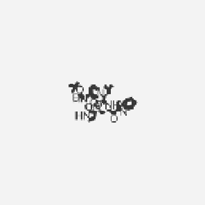 CC(C)C[C@@H](C(=O)N[C@@H](CC[C@@H]1CCNC1O)C(=O)c1nc2ccccc2s1)n1cccc(NC(=O)OC(C)(C)C)c1=O